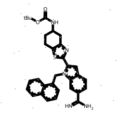 CC(C)(C)OC(=O)NC1CCc2sc(-c3cc4ccc(C(=N)N)cc4n3Cc3cccc4ccccc34)nc2C1